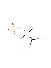 CCCCCCC(CCCCCC)[Si](C)(C)OP(=O)(O)O